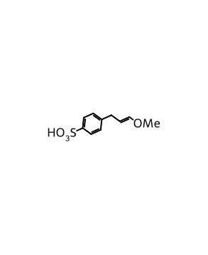 COC=CCc1ccc(S(=O)(=O)O)cc1